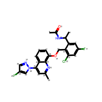 [CH2]C(NC(C)=O)c1cc(F)cc(Cl)c1COc1cccc2c(-n3cc(F)cn3)cc(C)nc12